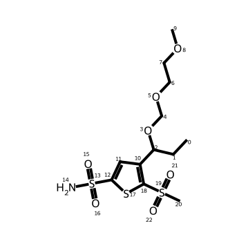 CCC(OCOCCOC)c1cc(S(N)(=O)=O)sc1S(C)(=O)=O